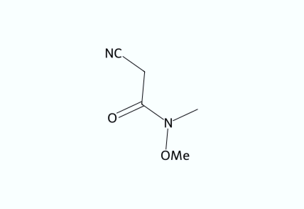 CON(C)C(=O)CC#N